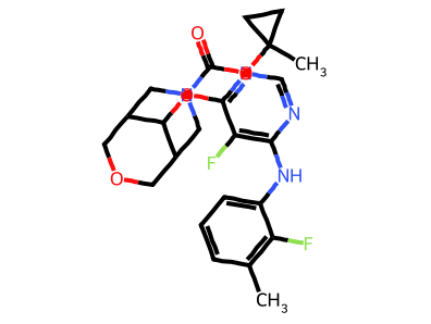 Cc1cccc(Nc2ncnc(OC3C4COCC3CN(C(=O)OC3(C)CC3)C4)c2F)c1F